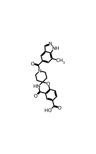 Cc1cc(C(=O)N2CCC3(CC2)NC(=O)c2cc(C(=O)O)ccc2O3)cc2cn[nH]c12